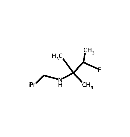 CC(C)CNC(C)(C)C(C)F